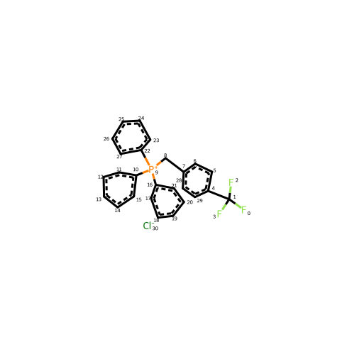 FC(F)(F)c1ccc(C[P+](c2ccccc2)(c2ccccc2)c2ccccc2)cc1.[Cl-]